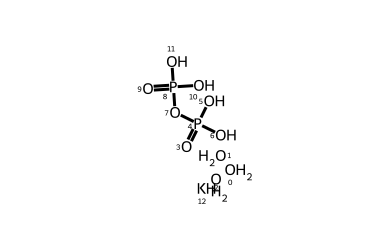 O.O.O.O=P(O)(O)OP(=O)(O)O.[KH]